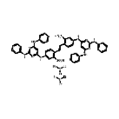 CCN(CC)CC.CCN(CC)CC.O=S(=O)(O)c1cc(Nc2cc(Nc3ccccc3)nc(Nc3ccccc3)n2)ccc1/C=C/c1ccc(Nc2cc(Nc3ccccc3)nc(Nc3ccccc3)n2)cc1S(=O)(=O)O